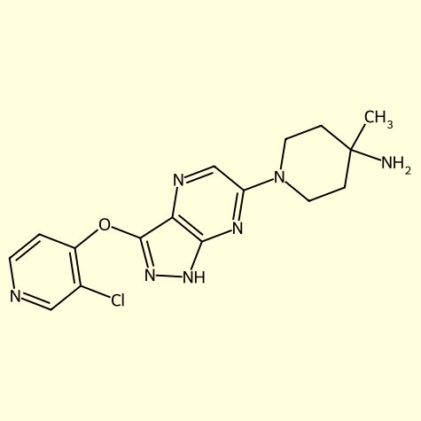 CC1(N)CCN(c2cnc3c(Oc4ccncc4Cl)n[nH]c3n2)CC1